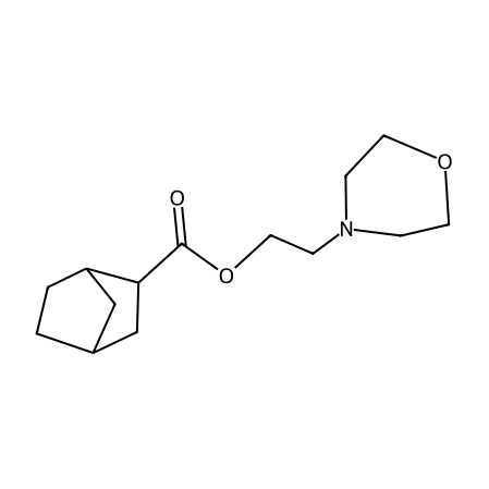 O=C(OCCN1CCOCC1)C1CC2CCC1C2